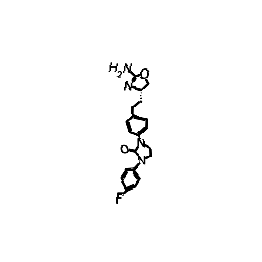 NC1=N[C@@H](CCc2ccc(N3CCN(c4ccc(F)cc4)C3=O)cc2)CO1